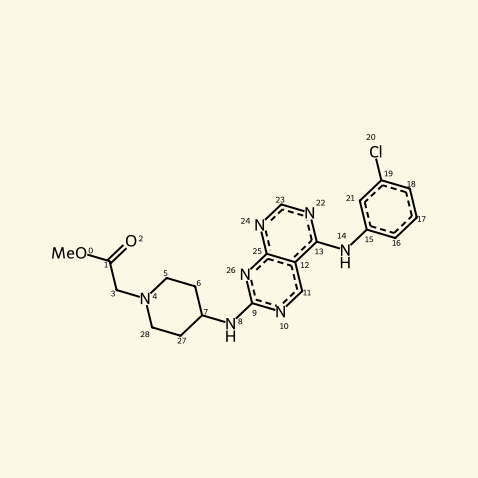 COC(=O)CN1CCC(Nc2ncc3c(Nc4cccc(Cl)c4)ncnc3n2)CC1